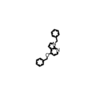 c1ccc(COc2ccnc3c2ccn3Cc2ccccc2)cc1